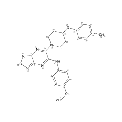 CCCOc1ccc(Nc2nc3nonc3nc2N2CCC(Sc3ccc(C)cc3)CC2)cc1